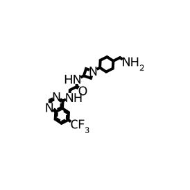 NCC1CCC(N2CC(NC(=O)CNc3ncnc4ccc(C(F)(F)F)cc34)C2)CC1